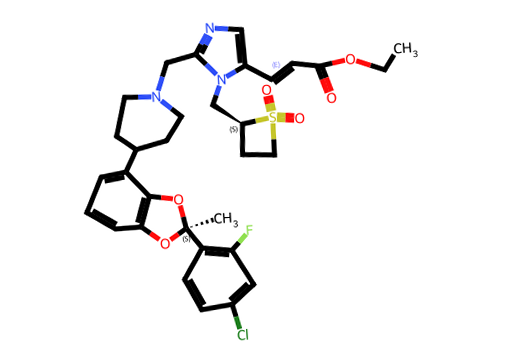 CCOC(=O)/C=C/c1cnc(CN2CCC(c3cccc4c3O[C@@](C)(c3ccc(Cl)cc3F)O4)CC2)n1C[C@@H]1CCS1(=O)=O